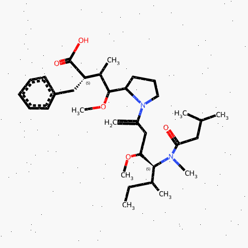 C=C(CC(OC)[C@H](C(C)CC)N(C)C(=O)CC(C)C)N1CCCC1C(OC)C(C)[C@H](Cc1ccccc1)C(=O)O